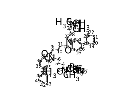 C[N+](C)(C)CCCN1C(=CC=Cc2oc3ccc(-c4ccccc4)cc3[n+]2CCC[N+](C)(C)C)Oc2ccc(-c3ccccc3)cc21.[Br-].[Br-].[Br-]